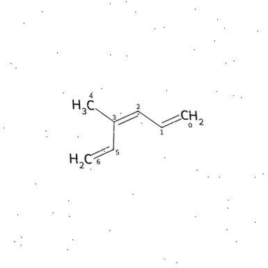 C=C[C]=C(C)C=C